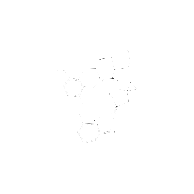 C[C@H]1CCCC[C@H]1C(=O)N1CCc2c(Cl)ccc(OCc3cccc(=O)n3C)c2[C@H]1CN1CC2(CC2)CC1=O